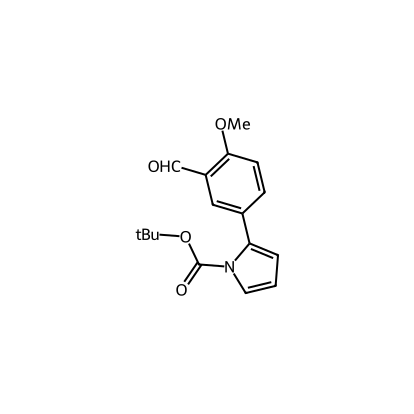 COc1ccc(-c2cccn2C(=O)OC(C)(C)C)cc1C=O